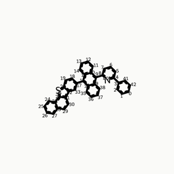 c1ccc(-c2cccc(-c3c4ccccc4c(-c4ccc5sc6c7ccccc7ccc6c5c4)c4ccccc34)n2)cc1